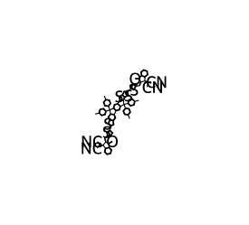 Cc1ccc(C2(c3ccc(C)cc3)c3cc4c(cc3-c3cc5cc(-c6ccc(/C=C7\C(=O)c8ccccc8C7=C(C#N)C#N)s6)sc5cc32)C(c2ccc(C)cc2)(c2ccc(C)cc2)c2c-4sc3cc(-c4ccc(/C=C5\C(=O)c6ccccc6C5=C(C#N)C#N)s4)sc23)cc1